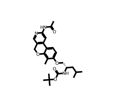 CC(=O)Nc1cc2c(cn1)COc1c-2ccc(OC[C@H](CC(C)C)NC(=O)OC(C)(C)C)c1C